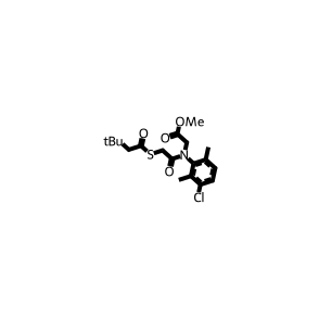 COC(=O)CN(C(=O)CSC(=O)CC(C)(C)C)c1c(C)ccc(Cl)c1C